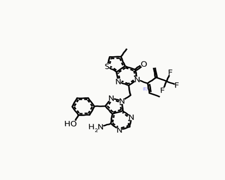 C=C(/C(=C\C)n1c(Cn2nc(-c3cccc(O)c3)c3c(N)ncnc32)nc2scc(C)c2c1=O)C(F)(F)F